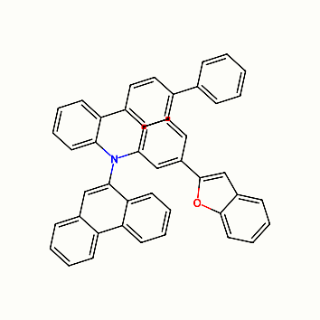 c1ccc(-c2ccc(-c3ccccc3N(c3cccc(-c4cc5ccccc5o4)c3)c3cc4ccccc4c4ccccc34)cc2)cc1